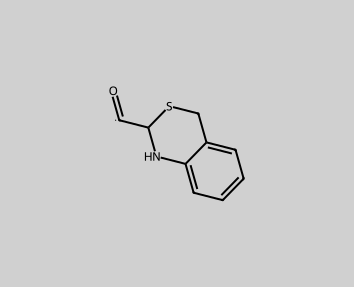 O=[C]C1Nc2ccccc2CS1